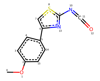 COc1ccc(-c2csc(N=C=O)n2)cc1